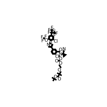 CC(C)(C)OC(=O)C(C)(C)COCCOC(=O)OCN(C(=O)c1cc(-c2cnn(-c3c(Cl)cc(C(F)(C(F)(F)F)C(F)(F)F)cc3OC(F)(F)F)c2)ccc1Cl)C1(C#N)CC1